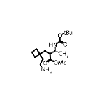 COC(=O)C(CC1(CCN)CCC1)[C@@H](C)NC(=O)OC(C)(C)C